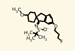 COC1CCC2(CC1)Cc1ccc(OCCCF)cc1C2=N[S+]([O-])C(C)(C)C